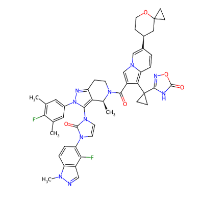 Cc1cc(-n2nc3c(c2-n2ccn(-c4ccc5c(cnn5C)c4F)c2=O)[C@H](C)N(C(=O)c2cn4cc([C@H]5CCOC6(CC6)C5)ccc4c2C2(c4noc(=O)[nH]4)CC2)CC3)cc(C)c1F